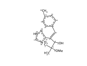 COC(C)(C)C(O)/C(=C/c1ccc(C)cc1)c1nc[nH]n1